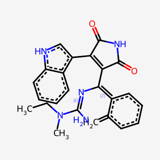 C=c1cccc/c1=C(/N=C(\N)N(C)CC)C1=C(c2c[nH]c3ccccc23)C(=O)NC1=O